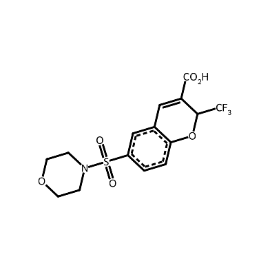 O=C(O)C1=Cc2cc(S(=O)(=O)N3CCOCC3)ccc2OC1C(F)(F)F